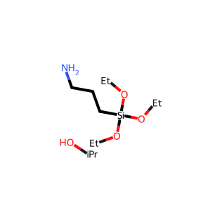 CC(C)O.CCO[Si](CCCN)(OCC)OCC